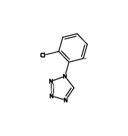 Clc1ccc[c]c1-n1cnnn1